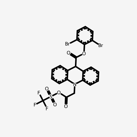 O=C(CN1c2ccccc2C(C(=O)Oc2c(Br)cccc2Br)c2ccccc21)OS(=O)(=O)C(F)(F)F